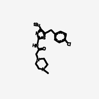 CN1CCN(CC(=O)Nc2nc(C(C)(C)C)c(Cc3ccc(Cl)cc3)s2)CC1